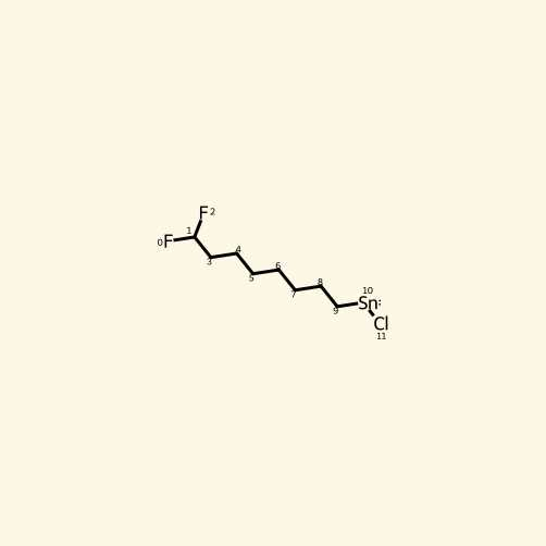 FC(F)CCCCCC[CH2][Sn][Cl]